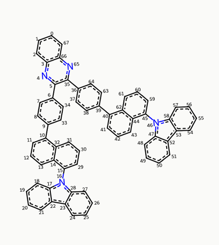 c1ccc2nc(-c3ccc(-c4cccc5c(-n6c7ccccc7c7ccccc76)cccc45)cc3)c(-c3ccc(-c4cccc5c(-n6c7ccccc7c7ccccc76)cccc45)cc3)nc2c1